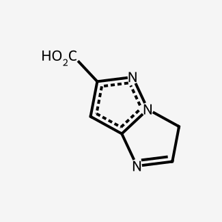 O=C(O)c1cc2n(n1)CC=N2